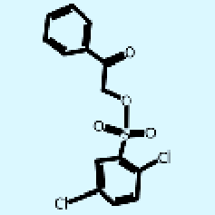 O=C(COS(=O)(=O)c1cc(Cl)ccc1Cl)c1ccccc1